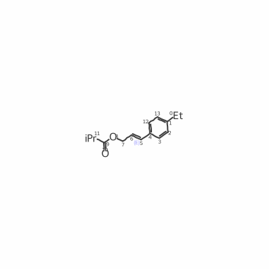 CCc1ccc(/C=C/COC(=O)C(C)C)cc1